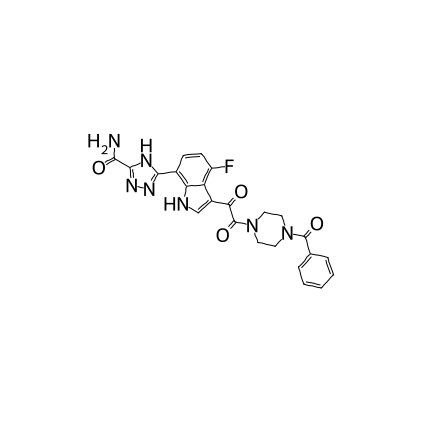 NC(=O)c1nnc(-c2ccc(F)c3c(C(=O)C(=O)N4CCN(C(=O)c5ccccc5)CC4)c[nH]c23)[nH]1